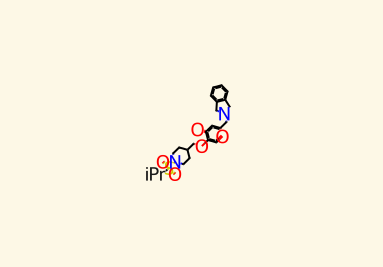 CC(C)S(=O)(=O)N1CCC(COc2coc(CN3Cc4ccccc4C3)cc2=O)CC1